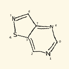 [c]1ncc2sncc2n1